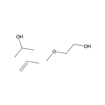 C=CC.CC(C)O.COCCO